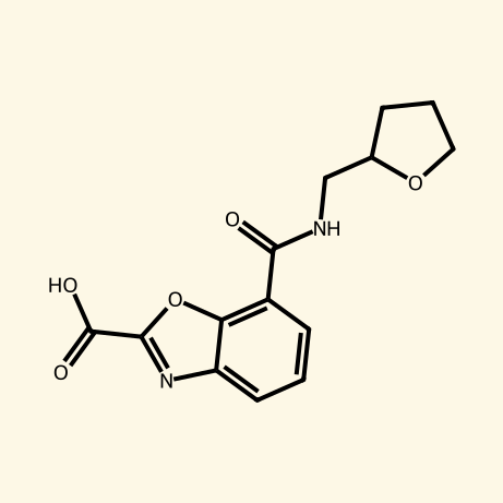 O=C(O)c1nc2cccc(C(=O)NCC3CCCO3)c2o1